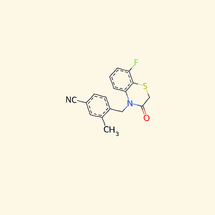 Cc1cc(C#N)ccc1CN1C(=O)CSc2c(F)cccc21